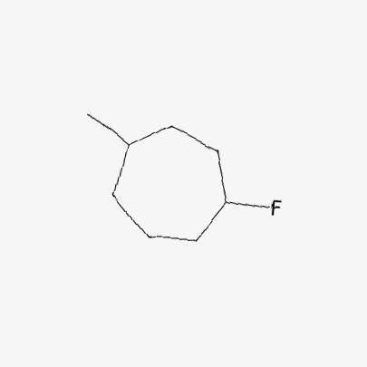 CC1CCCC(F)CC1